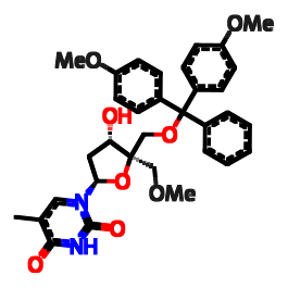 COC[C@]1(COC(c2ccccc2)(c2ccc(OC)cc2)c2ccc(OC)cc2)O[C@@H](n2cc(C)c(=O)[nH]c2=O)C[C@@H]1O